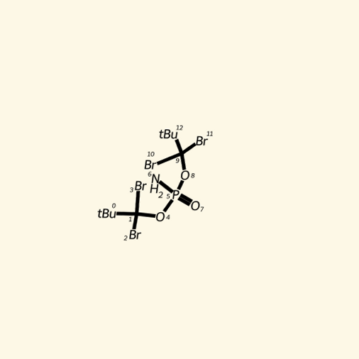 CC(C)(C)C(Br)(Br)OP(N)(=O)OC(Br)(Br)C(C)(C)C